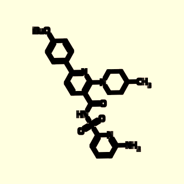 CC(C)COc1ccc(-c2ccc(C(=O)NS(=O)(=O)c3cccc(N)n3)c(N3CCC(C)CC3)n2)cc1